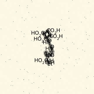 CCNC(=O)NC(CCCCN(Cc1nccc2ccccc12)C(=O)c1ccc(CNC(=O)CCCCNC(=O)CCC(C(=O)O)N2CCN(CC(=O)O)CCN(CC(=O)O)CCN(CC(=O)O)CC2)cc1)C(=O)O